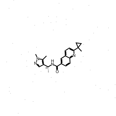 Cc1c([C@@H](C)NC(=O)c2ccc3nc(C4(C)CC4)ccc3c2)cnn1C